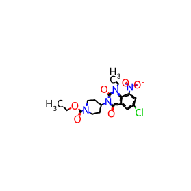 CCOC(=O)N1CCC(n2c(=O)c3cc(Cl)cc([N+](=O)[O-])c3n(CC)c2=O)CC1